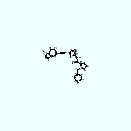 Cn1ccc2cc(C#Cc3csc(NC(=O)c4cccn4Cc4ccncc4)n3)ccc21